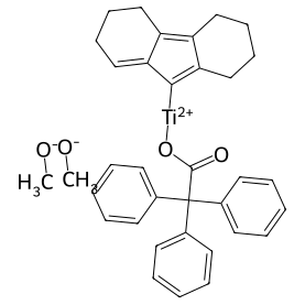 C[O-].C[O-].O=C([O][Ti+2][C]1=C2CCCCC2=C2CCCC=C21)C(c1ccccc1)(c1ccccc1)c1ccccc1